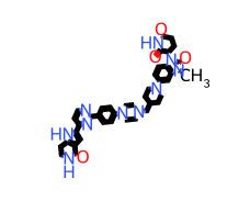 Cn1c(=O)n(C2CCC(=O)NC2=O)c2ccc(N3CCC(CN4CCN(c5ccc(-c6nccc(-c7cc8c([nH]7)CCNC8=O)n6)cc5)CC4)CC3)cc21